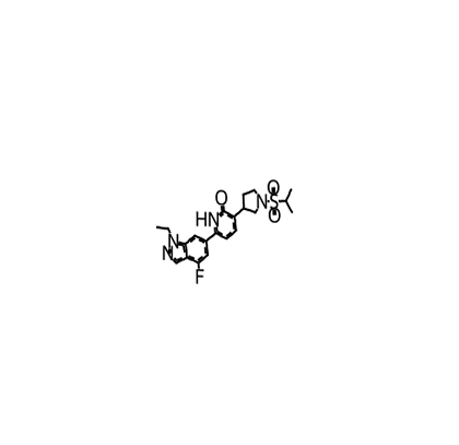 CCn1ncc2c(F)cc(-c3ccc(C4CCN(S(=O)(=O)C(C)C)C4)c(=O)[nH]3)cc21